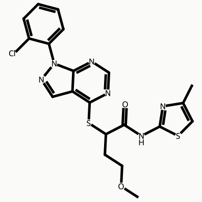 COCCC(Sc1ncnc2c1cnn2-c1ccccc1Cl)C(=O)Nc1nc(C)cs1